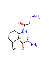 CC(=O)[C@H]1CCCC(NC(=O)CCN)[C@H]1C(=O)NN